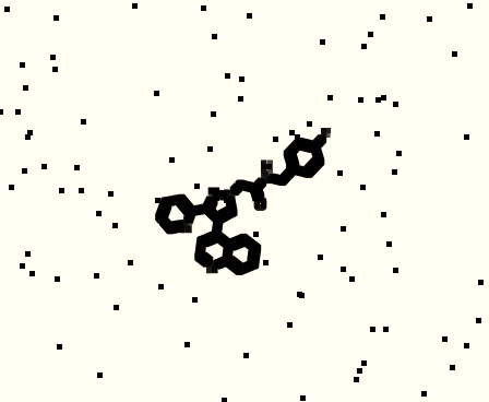 O=C(Cn1cc(-c2ccnc3ccccc23)c(-c2ccccn2)n1)NCc1ccc(F)cc1